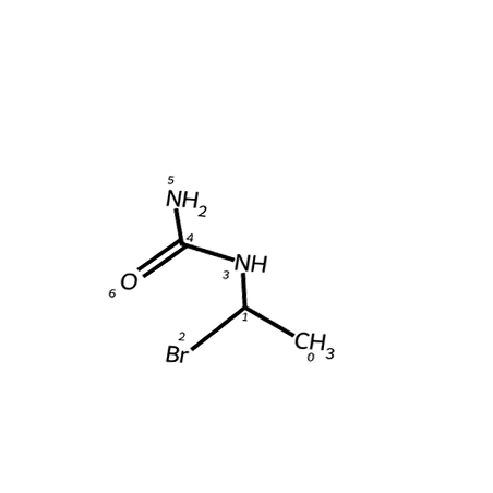 CC(Br)NC(N)=O